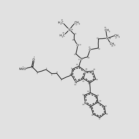 COC(=O)CCCCCc1cc(N(COCC[Si](C)(C)C)COCC[Si](C)(C)C)n2ncc(-c3cnc4ccccc4c3)c2n1